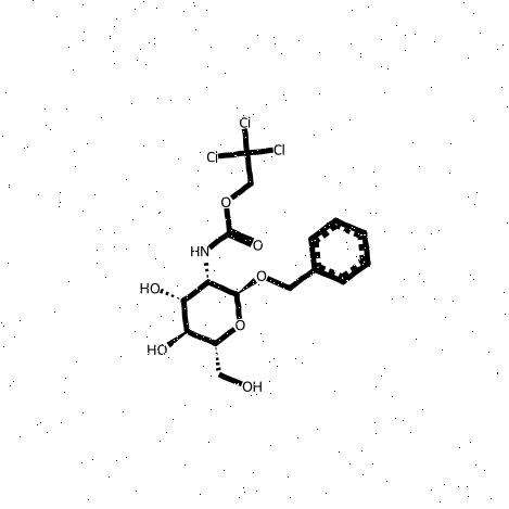 O=C(N[C@@H]1[C@@H](OCc2ccccc2)O[C@H](CO)[C@@H](O)[C@@H]1O)OCC(Cl)(Cl)Cl